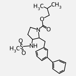 CC(C)COC(=O)N1CCC(NS(C)(=O)=O)C1Cc1cccc(-c2ccccc2)c1